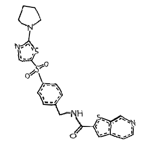 O=C(NCc1ccc(S(=O)(=O)c2cnc(N3CCCC3)s2)cc1)c1cc2ccncc2s1